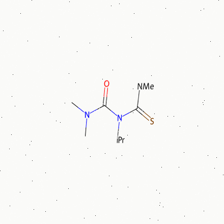 CNC(=S)N(C(=O)N(C)C)C(C)C